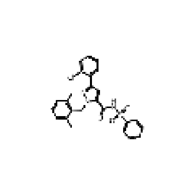 Cc1cccc(C)c1Cn1nc(-c2ccccc2Cl)cc1C(=O)NS(=O)(=O)c1ccccc1